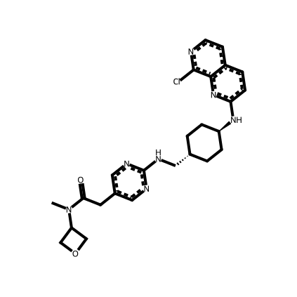 CN(C(=O)Cc1cnc(NC[C@H]2CC[C@H](Nc3ccc4ccnc(Cl)c4n3)CC2)nc1)C1COC1